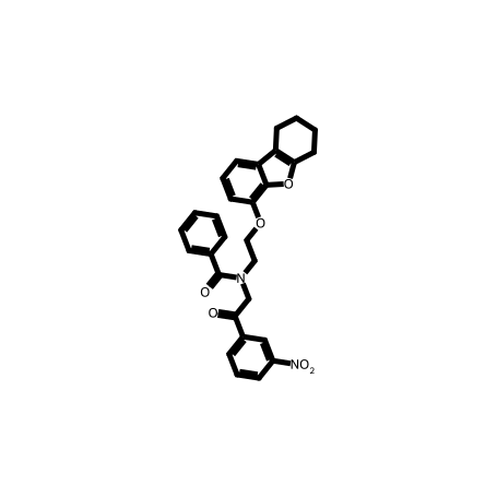 O=C(CN(CCOc1cccc2c3c(oc12)CCCC3)C(=O)c1ccccc1)c1cccc([N+](=O)[O-])c1